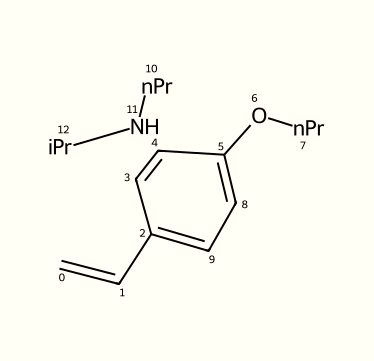 C=Cc1ccc(OCCC)cc1.CCCNC(C)C